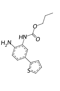 CCCOC(=O)Nc1cc(-c2cccs2)ccc1N